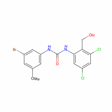 COc1cc(Br)cc(NC(=O)Nc2cc(Cl)cc(Cl)c2CO)c1